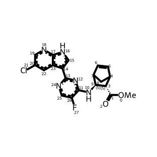 COC(=O)[C@H]1C2C=CC(C2)[C@@H]1Nc1nc(-c2c[nH]c3ncc(Cl)cc23)ncc1F